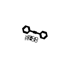 C(#Cc1ccccc1)c1ccccc1.N=C=O.N=C=O